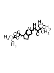 CC(C)(C)OC(=O)C1CCc2cc(NC(=O)C(C)(C)C)ncc21